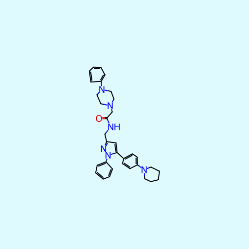 O=C(CN1CCN(c2ccccc2)CC1)NCc1cc(-c2ccc(N3CCCCC3)cc2)n(-c2ccccc2)n1